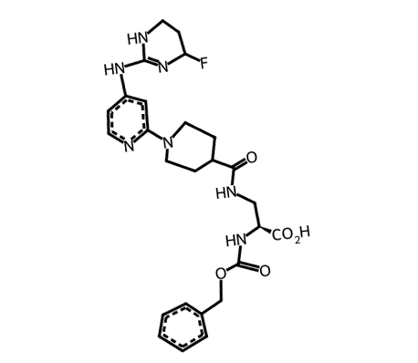 O=C(N[C@@H](CNC(=O)C1CCN(c2cc(NC3=NC(F)CCN3)ccn2)CC1)C(=O)O)OCc1ccccc1